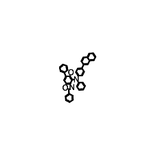 c1ccc(-c2nc3c(N(c4ccccc4)c4ccc(-c5ccc6ccccc6c5)cc4)c4oc5ccccc5c4cc3o2)cc1